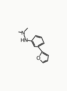 CN(C)Nc1cccc(-c2ccco2)c1